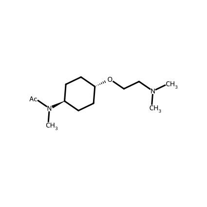 CC(=O)N(C)[C@H]1CC[C@H](OCCN(C)C)CC1